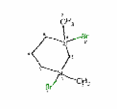 C[Si]1(Br)CCC[Si](C)(Br)C1